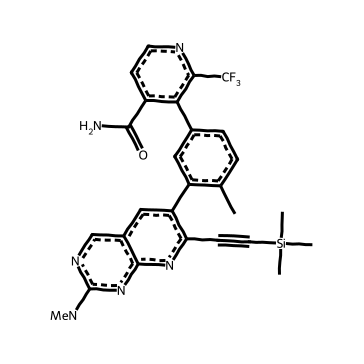 CNc1ncc2cc(-c3cc(-c4c(C(N)=O)ccnc4C(F)(F)F)ccc3C)c(C#C[Si](C)(C)C)nc2n1